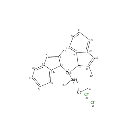 CCC.C[SiH2][Zr+2]([CH]1C(C)=Cc2ccccc21)[CH]1C(C)=Cc2ccccc21.[Cl-].[Cl-]